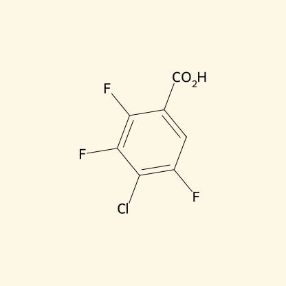 O=C(O)c1cc(F)c(Cl)c(F)c1F